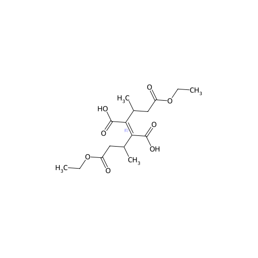 CCOC(=O)CC(C)/C(C(=O)O)=C(\C(=O)O)C(C)CC(=O)OCC